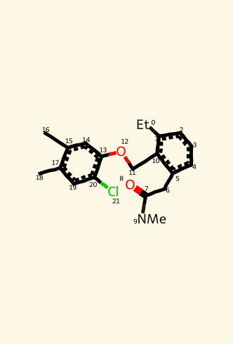 CCc1cccc(CC(=O)NC)c1COc1cc(C)c(C)cc1Cl